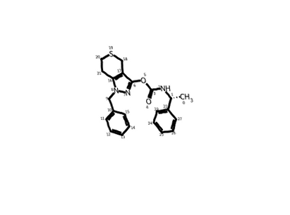 C[C@@H](NC(=O)Oc1nn(Cc2ccccc2)c2c1CSCC2)c1ccccc1